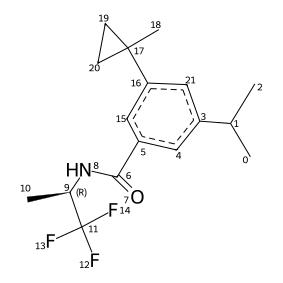 CC(C)c1cc(C(=O)N[C@H](C)C(F)(F)F)cc(C2(C)CC2)c1